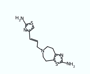 Nc1nc(C=CCN2CCc3nc(N)sc3CC2)cs1